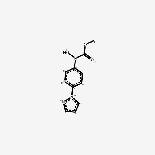 COC(=O)N(O)c1ccc(-n2cccn2)nc1